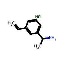 C=Cc1cccc(C(C)N)c1.Cl